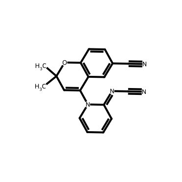 CC1(C)C=C(n2ccccc2=NC#N)c2cc(C#N)ccc2O1